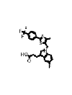 Cc1nc(-c2ccc(C(F)(F)F)cc2)sc1CN1CC(CCC(=O)O)c2cc(F)ccc21